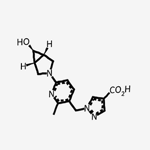 Cc1nc(N2C[C@@H]3[C@@H](O)[C@@H]3C2)ccc1Cn1cc(C(=O)O)cn1